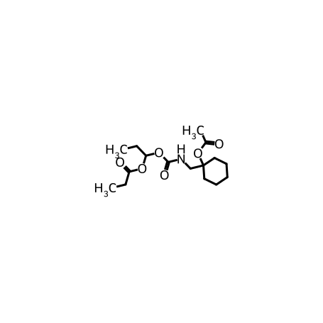 CCC(=O)OC(CC)OC(=O)NCC1(OC(C)=O)CCCCC1